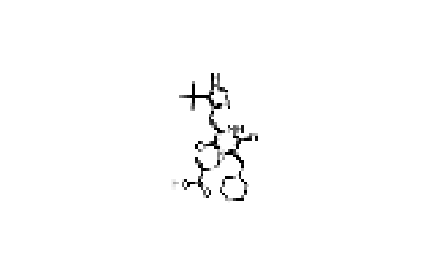 C=C(Cn1c(=O)/c(=C/c2nc[nH]c2C(C)(C)C)[nH]c(=O)/c1=C/C1CCCCC1)C(=O)O